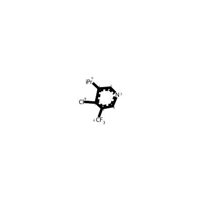 CC(C)c1cncc(C(F)(F)F)c1Cl